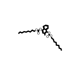 CCCCCCCCCOC(=O)Oc1cc(C)c(OC(=O)OCCCCCCCCC)c2ccccc12